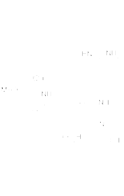 COC[C@@H](NC(=O)c1ccc(-c2ccc(C)nc2C(=O)Nc2ccc(C(=N)N)cc2)c(C(=O)O)c1)C(C)(C)C